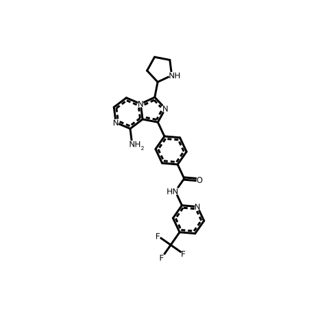 Nc1nccn2c(C3CCCN3)nc(-c3ccc(C(=O)Nc4cc(C(F)(F)F)ccn4)cc3)c12